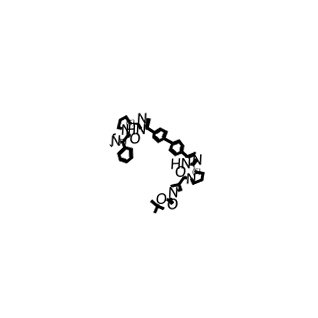 CN(C)[C@@H](C(=O)N1CCC[C@H]1c1ncc(-c2ccc(-c3ccc(-c4cnc([C@@H]5CCCN5C(=O)C5CN(C(=O)OC(C)(C)C)C5)[nH]4)cc3)cc2)[nH]1)c1ccccc1